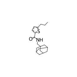 CCCc1ccc(C(=O)NCC23CC4CC(CC(C4)C2)C3)s1